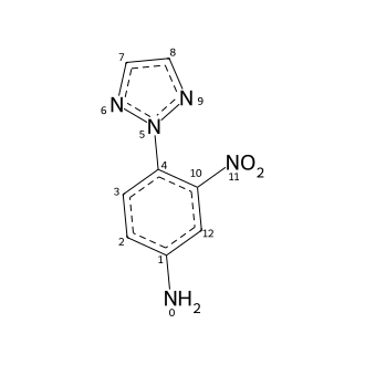 Nc1ccc(-n2nccn2)c([N+](=O)[O-])c1